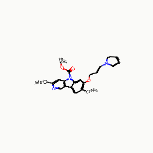 COc1cc2c(cn1)c1cc(OC)c(OCCCN3CCCC3)cc1n2C(=O)OC(C)(C)C